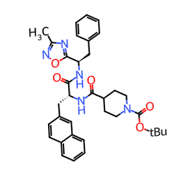 Cc1noc([C@@H](Cc2ccccc2)NC(=O)[C@@H](Cc2ccc3ccccc3c2)NC(=O)C2CCN(C(=O)OC(C)(C)C)CC2)n1